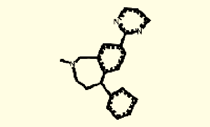 CN1CCC(c2ccccc2)c2ccc(-c3ncccn3)cc2C1